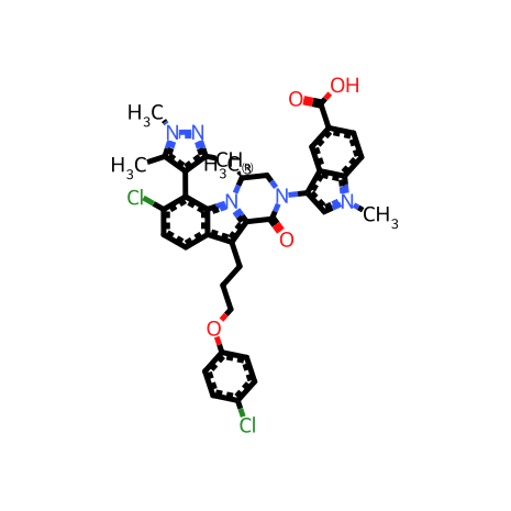 Cc1nn(C)c(C)c1-c1c(Cl)ccc2c(CCCOc3ccc(Cl)cc3)c3n(c12)[C@H](C)CN(c1cn(C)c2ccc(C(=O)O)cc12)C3=O